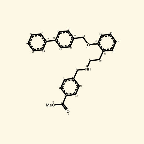 COC(=O)c1ccc(CNCCc2ccccc2OCc2ccc(-c3ccccc3)cc2)cc1